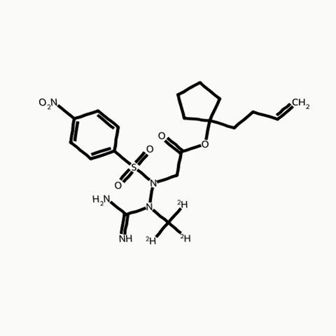 [2H]C([2H])([2H])N(C(=N)N)N(CC(=O)OC1(CCC=C)CCCC1)S(=O)(=O)c1ccc([N+](=O)[O-])cc1